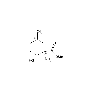 COC(=O)[C@@]1(N)CCC[C@@H](C)C1.Cl